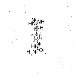 [N]NC(=N)NN=C1C=CC(=NNC(N)=O)C=C1